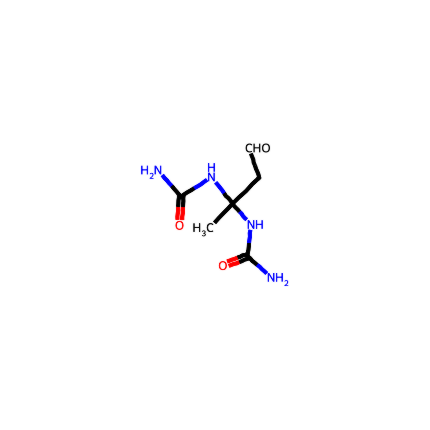 CC(CC=O)(NC(N)=O)NC(N)=O